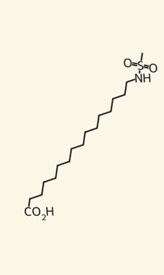 CS(=O)(=O)NCCCCCCCCCCCCCCCC(=O)O